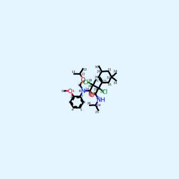 COc1ccccc1N(COC(C)C)C(=O)C(C)(Cl)C(Cl)(C(=O)NC(C)C)C1=CC(C)CC(C)(C)C1